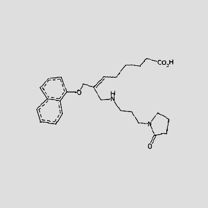 O=C(O)CCCCC=C(CNCCCN1CCCC1=O)COc1cccc2ccccc12